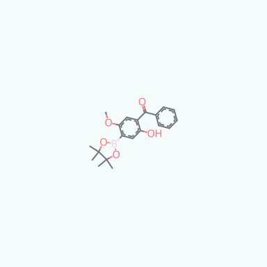 COc1cc(C(=O)c2ccccc2)c(O)cc1B1OC(C)(C)C(C)(C)O1